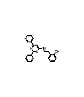 Oc1ccccc1CCNc1cc(-c2cccnc2)nc(-c2ccccn2)n1